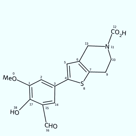 COc1cc(-c2cc3c(s2)CCN(C(=O)O)C3)cc(C=O)c1O